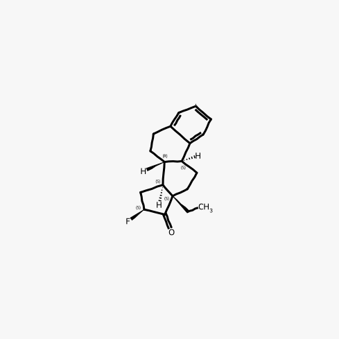 CC[C@]12CC[C@@H]3c4cc[c]cc4CC[C@H]3[C@@H]1C[C@H](F)C2=O